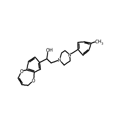 Cc1ccc(N2CCN(CC(O)c3ccc4c(c3)OCC=CO4)CC2)cc1